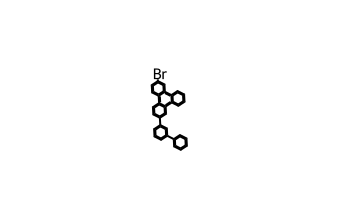 Brc1ccc2c3ccc(-c4cccc(-c5ccccc5)c4)cc3c3ccccc3c2c1